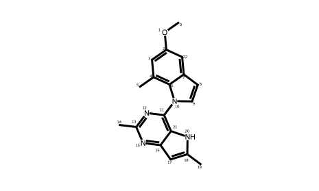 COc1cc(C)c2c(ccn2-c2nc(C)nc3cc(C)[nH]c23)c1